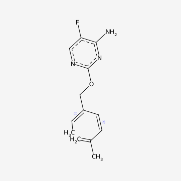 C=C(C)/C=C\C(=C/C)COc1ncc(F)c(N)n1